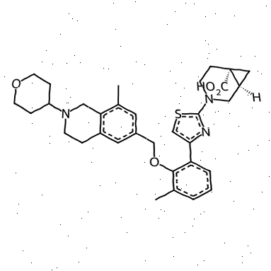 Cc1cc(COc2c(C)cccc2-c2csc(N3CC[C@@]4(C(=O)O)C[C@H]4C3)n2)cc2c1CN(C1CCOCC1)CC2